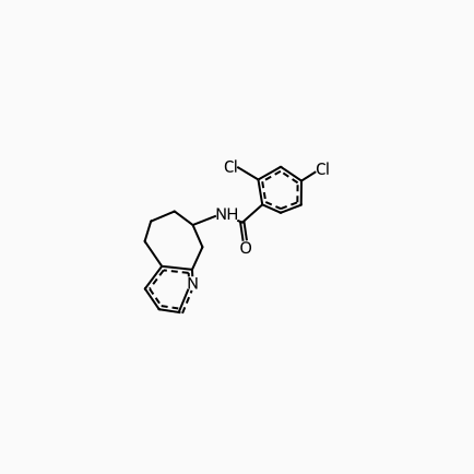 O=C(NC1CCCc2cccnc2C1)c1ccc(Cl)cc1Cl